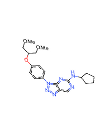 COCC(COC)Oc1ccc(-n2nnc3cnc(NC4CCCC4)nc32)cc1